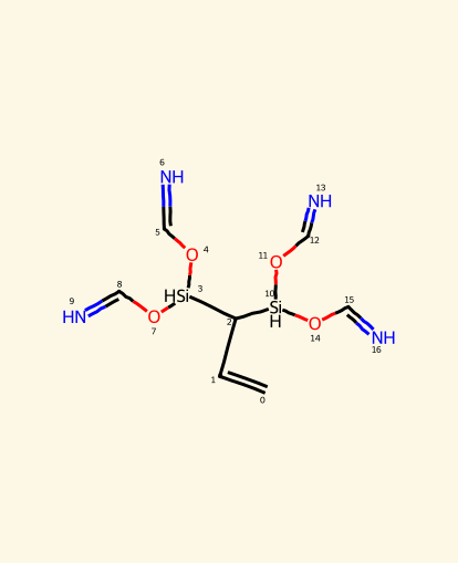 C=CC([SiH](OC=N)OC=N)[SiH](OC=N)OC=N